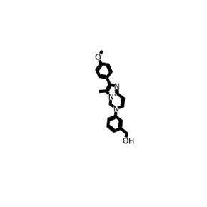 COc1ccc(C2=C(C)[N+]3CN(c4cccc(CO)c4)C=CC3=N2)cc1